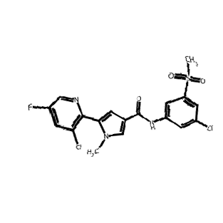 Cn1cc(C(=O)Nc2cc(Cl)cc(S(C)(=O)=O)c2)cc1-c1ncc(F)cc1Cl